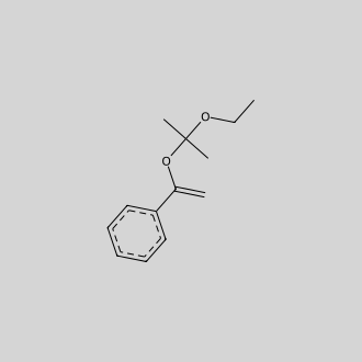 C=C(OC(C)(C)OCC)c1ccccc1